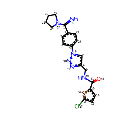 N=C(c1ccc(-n2cc(CNC(=O)c3ccc(Cl)s3)nn2)cc1)N1CCCC1